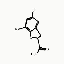 NC(=O)C1Cc2cc(Cl)cc(Br)c2O1